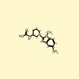 Cn1c(N2CCCC(NC(=O)O)C2)nc2cc(N)ccc21